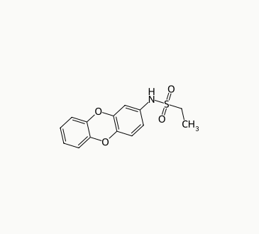 CCS(=O)(=O)Nc1ccc2c(c1)Oc1ccccc1O2